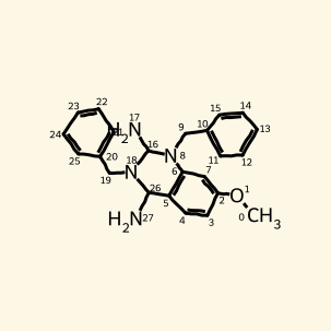 COc1ccc2c(c1)N(Cc1ccccc1)C(N)N(Cc1ccccc1)C2N